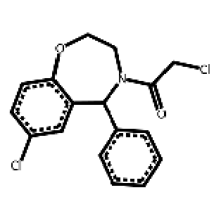 O=C(CCl)N1CCOc2ccc(Cl)cc2C1c1ccccc1